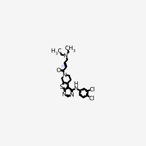 CCN(CC)C/C=C/C(=O)N1CCc2c(sc3ncnc(Nc4ccc(Cl)c(Cl)c4)c23)C1